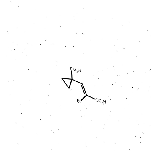 O=C(O)C(Br)=CC1(C(=O)O)CC1